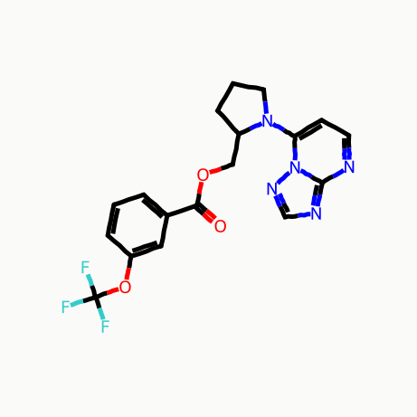 O=C(OCC1CCCN1c1ccnc2ncnn12)c1cccc(OC(F)(F)F)c1